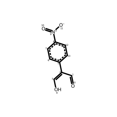 O=CC(=CO)c1ccc([N+](=O)[O-])cc1